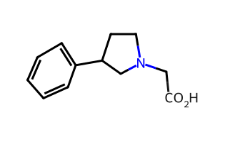 O=C(O)CN1CCC(c2ccccc2)C1